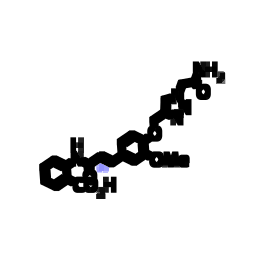 COc1cc(/C=C/C(=O)Nc2ccccc2C(=O)O)ccc1OCc1cn(CC(N)=O)nn1